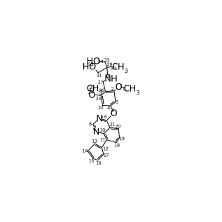 COc1cc(Oc2ncnc3c(-c4ccccc4)cccc23)cc(OC)c1CNC(C)(CO)CO